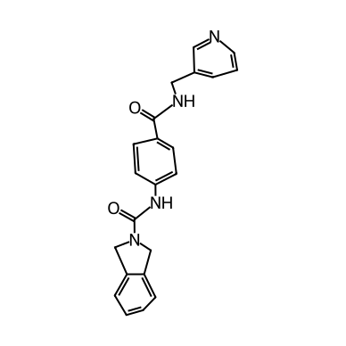 O=C(NCc1cccnc1)c1ccc(NC(=O)N2Cc3ccccc3C2)cc1